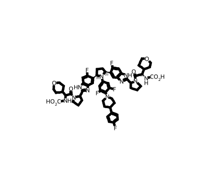 O=C(O)NC(C(=O)N1CCCC1c1nc2cc([C@H]3CC[C@@H](c4cc5nc(C6CCCN6C(=O)[C@@H](NC(=O)O)C6CCOCC6)[nH]c5cc4F)N3c3cc(F)c(N4CCC(c5ccc(F)cc5)CC4)c(F)c3)c(F)cc2[nH]1)C1CCOCC1